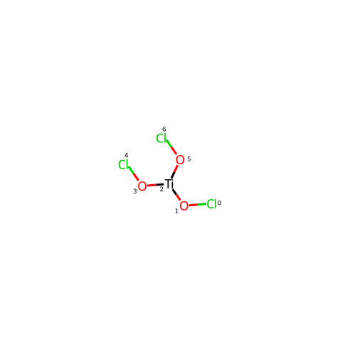 Cl[O][Ti]([O]Cl)[O]Cl